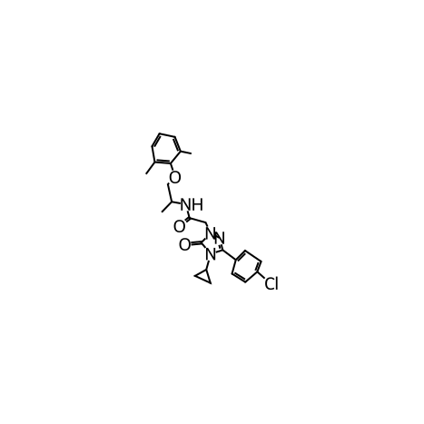 Cc1cccc(C)c1OCC(C)NC(=O)Cn1nc(-c2ccc(Cl)cc2)n(C2CC2)c1=O